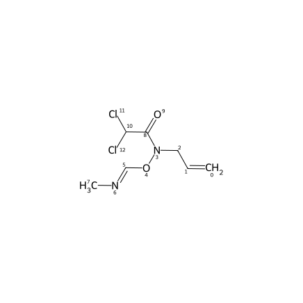 C=CCN(OC=NC)C(=O)C(Cl)Cl